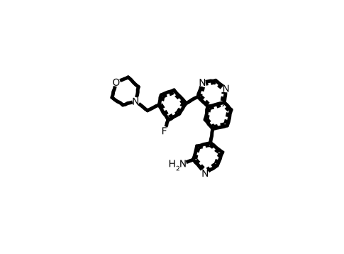 Nc1cc(-c2ccc3ncnc(-c4ccc(CN5CCOCC5)c(F)c4)c3c2)ccn1